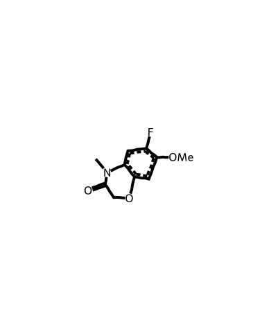 COc1cc2c(cc1F)N(C)C(=O)CO2